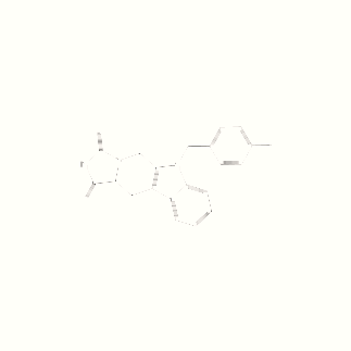 O=C1NC(=O)N2Cc3c(c4ccccc4n3Cc3ccc(F)cc3)CC12